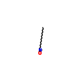 CCCCCCCCCCCCCCC[N]C=O